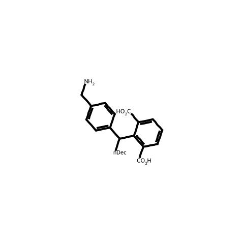 CCCCCCCCCCC(c1ccc(CN)cc1)c1c(C(=O)O)cccc1C(=O)O